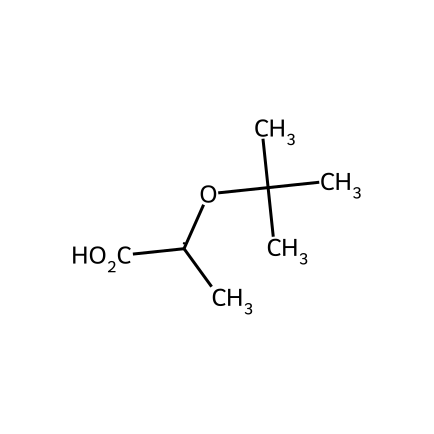 C[C](OC(C)(C)C)C(=O)O